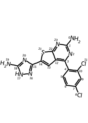 Nc1nc(-c2ccc(Cl)cc2Cl)c2cc(-c3n[nH]c(N)n3)sc2n1